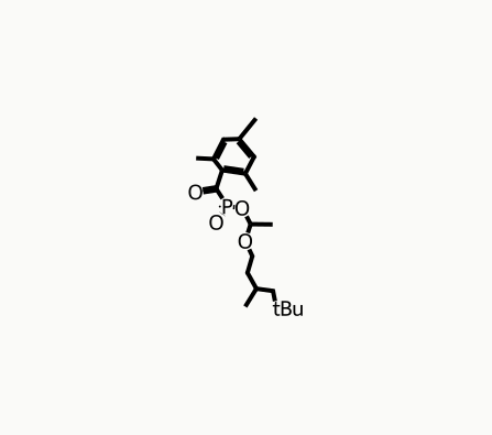 Cc1cc(C)c(C(=O)[P](=O)OC(C)OCCC(C)CC(C)(C)C)c(C)c1